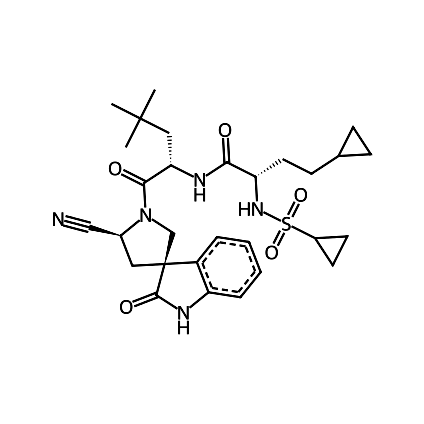 CC(C)(C)C[C@H](NC(=O)[C@H](CCC1CC1)NS(=O)(=O)C1CC1)C(=O)N1C[C@]2(C[C@H]1C#N)C(=O)Nc1ccccc12